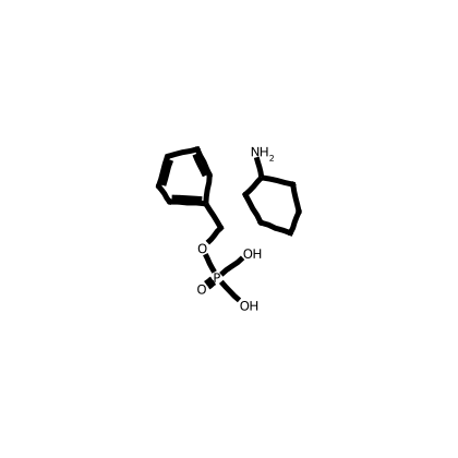 NC1CCCCC1.O=P(O)(O)OCc1ccccc1